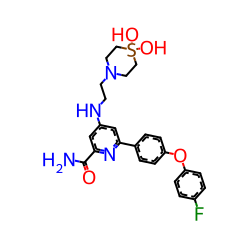 NC(=O)c1cc(NCCN2CCS(O)(O)CC2)cc(-c2ccc(Oc3ccc(F)cc3)cc2)n1